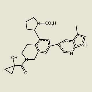 Cc1c[nH]c2ncc(-c3cc4c(c(C5CCCN5C(=O)O)c3)CCN(C(=O)C3(O)CC3)C4)cc12